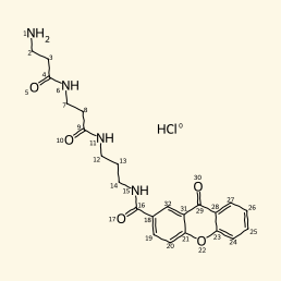 Cl.NCCC(=O)NCCC(=O)NCCCNC(=O)c1ccc2oc3ccccc3c(=O)c2c1